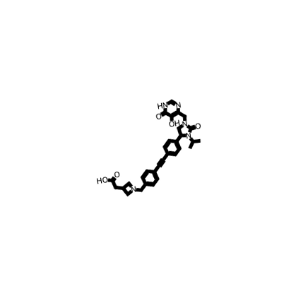 CC(C)N1C(=O)N(Cc2nc[nH]c(=O)c2O)CC1c1ccc(C#Cc2ccc(CN3CC(CC(=O)O)C3)cc2)cc1